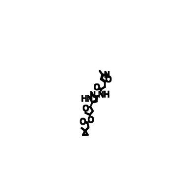 Cc1cc(CC(=O)Nc2cc([C@H]3C[C@@H](OC(=O)CC4(C)CC4)CO3)[nH]n2)on1